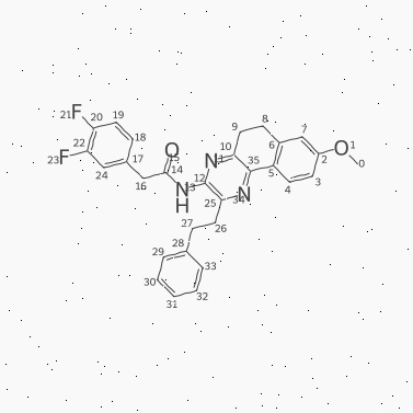 COc1ccc2c(c1)CCc1nc(NC(=O)Cc3ccc(F)c(F)c3)c(CCc3ccccc3)nc1-2